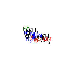 Cc1c(C(F)F)nc2c(c1NC(=O)N=S(N)(=O)c1cnc(C(C)(C)O)s1)CCC2